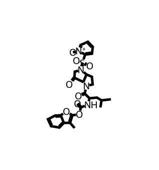 Cc1c(OC(=O)NC(CC(C)C)C(=O)N2CCC3C2C(=O)CN3S(=O)(=O)c2cccc[n+]2[O-])oc2ccccc12